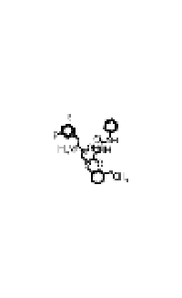 CCc1cccc(CN(C[C@@H](O)[C@@H](N)Cc2cc(F)cc(F)c2)C(=O)CNC(=O)Nc2ccccc2)c1